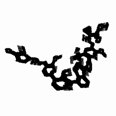 COc1nc(-c2ccnc(-c3cccc4c3CC[C@H]4Oc3nc(OC)c(CNC4(C(=O)O)CC4)cc3C(F)(F)F)c2Cl)ccc1CNC[C@H]1CCC(=O)N1